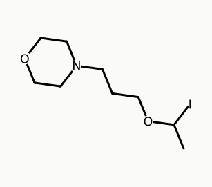 CC(I)OCCCN1CCOCC1